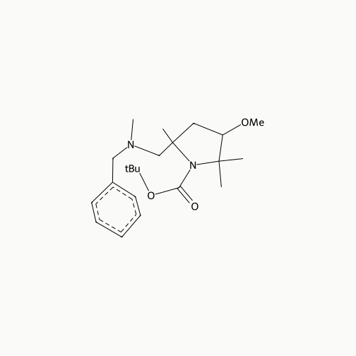 COC1CC(C)(CN(C)Cc2ccccc2)N(C(=O)OC(C)(C)C)C1(C)C